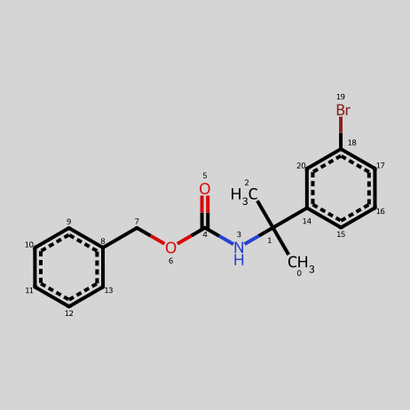 CC(C)(NC(=O)OCc1ccccc1)c1cccc(Br)c1